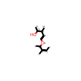 CC=C(C)C(C)OC=CC(C)C(C)O